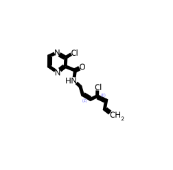 C=C/C=C(Cl)\C=C/CNC(=O)c1nccnc1Cl